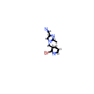 Cc1nc(C#N)cn1Cc1cccnc1Br